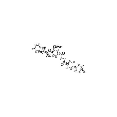 COc1cc(C(=O)/C=C/C(=O)N2CCC(N3CCN(C)CC3)CC2)ccc1ON(C(C)=O)c1nc2ccccc2s1